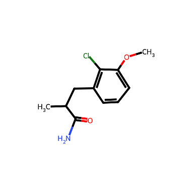 COc1cccc(CC(C)C(N)=O)c1Cl